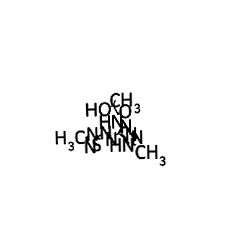 Cc1nsc(/N=N/c2c(NC(=O)C(C)O)nn3nc(C)[nH]c23)n1